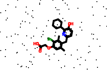 Cc1cc(OCC(=O)O)c(Br)c(C)c1Cc1ccc(O)c(C2CCCCC2)n1